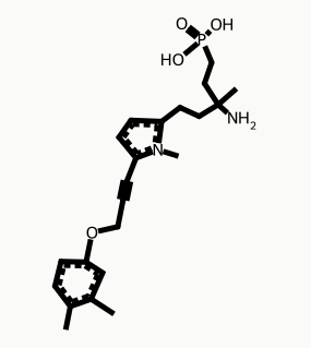 Cc1ccc(OCC#Cc2ccc(CCC(C)(N)CCP(=O)(O)O)n2C)cc1C